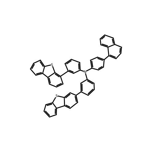 c1cc(-c2ccc3c(c2)sc2ccccc23)cc(N(c2ccc(-c3cccc4ccccc34)cc2)c2cccc(-c3cccc4c3sc3ccccc34)c2)c1